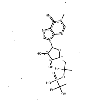 CCC(C)(C[C@H]1OC(n2cnc3c(=N)n(C)cnc32)[C@H](O)[C@@H]1O)OP(=O)(O)C(C)(O)CC